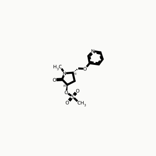 CN1C(=O)[C@H](OS(C)(=O)=O)C[C@H]1COc1cccnc1